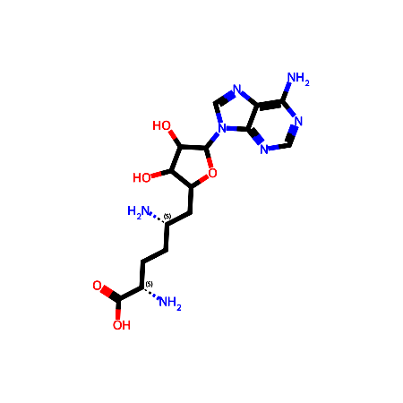 Nc1ncnc2c1ncn2C1OC(C[C@@H](N)CC[C@H](N)C(=O)O)C(O)C1O